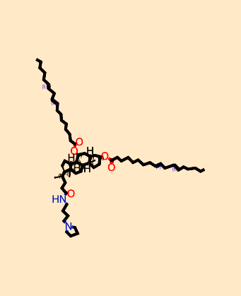 CCCCC/C=C/C/C=C/CCCCCCCC(=O)O[C@@H]1CC[C@@]2(C)[C@@H](C1)C[C@H](OC(=O)CCCCCCC/C=C/C/C=C/CCCCC)[C@@H]1[C@@H]2CC[C@]2(C)[C@@H]([C@H](C)CCC(=O)NCCCCN3CCCC3)CC[C@@H]12